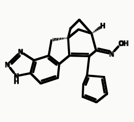 O/N=C1/C(c2ccccc2)=C2c3ccc4[nH]nnc4c3C[C@@]23CC[C@@H]1C3